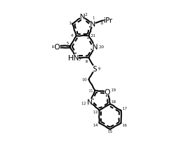 CC(C)n1ncc2c(=O)[nH]c(SCc3nc4ccccc4o3)nc21